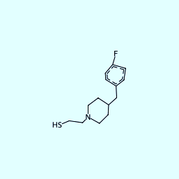 Fc1ccc(CC2CCN(CCS)CC2)cc1